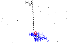 CCCCCCCCCCCCCCCCCCCCCCCCCCCCNN(CC#N)C(CCCNC(=N)N)C(N)=O